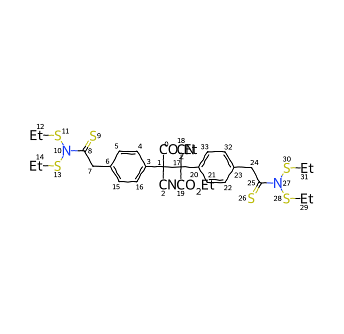 CCOC(=O)C(C#N)(c1ccc(CC(=S)N(SCC)SCC)cc1)C(C#N)(C(=O)OCC)c1ccc(CC(=S)N(SCC)SCC)cc1